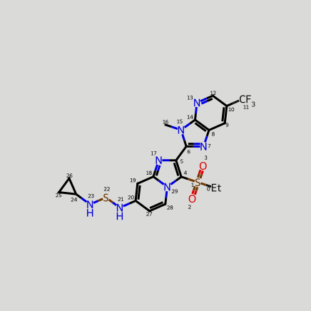 CCS(=O)(=O)c1c(-c2nc3cc(C(F)(F)F)cnc3n2C)nc2cc(NSNC3CC3)ccn12